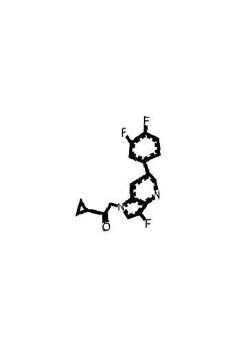 O=C(Cn1cc(F)c2ncc(-c3ccc(F)c(F)c3)cc21)C1CC1